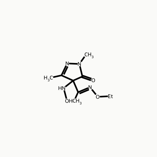 CCON=C(C)C1(NO)C(=O)N(C)N=C1C